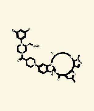 COC[C@H]1CN(C(=O)C2CCN(c3ccc4c(c3)N3C[C@H](C)CCCOc5c(cnn5C)-c5cc(cc(C)n5)C(=O)/N=C/3N4)CC2)CCN1c1cc(F)cc(F)c1